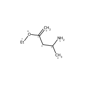 C=C(CC(C)N)OCC